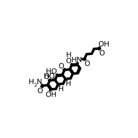 NC(=O)C1=C(O)C[C@@H]2C[C@@H]3Cc4ccc(NC(=O)CCCC(=O)O)c(O)c4C(=O)C3=C(O)[C@]2(O)C1=O